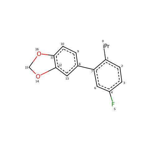 CC(C)c1ccc(F)cc1-c1ccc2c(c1)OCO2